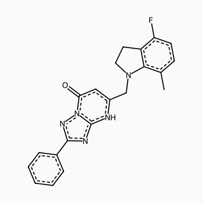 Cc1ccc(F)c2c1N(Cc1cc(=O)n3nc(-c4ccccc4)nc3[nH]1)CC2